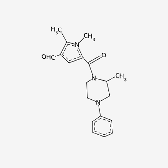 Cc1c(C=O)cc(C(=O)N2CCN(c3ccccc3)CC2C)n1C